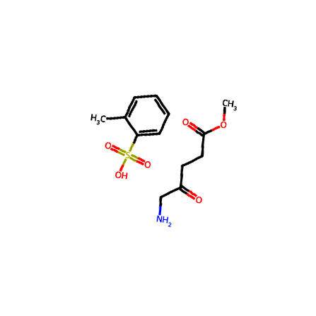 COC(=O)CCC(=O)CN.Cc1ccccc1S(=O)(=O)O